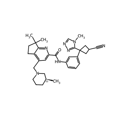 C[C@H]1CCCN(Cc2cc(C(=O)Nc3cccc(C4(c5nncn5C)CC(C#N)C4)c3)nc3c2CCC3(C)C)C1